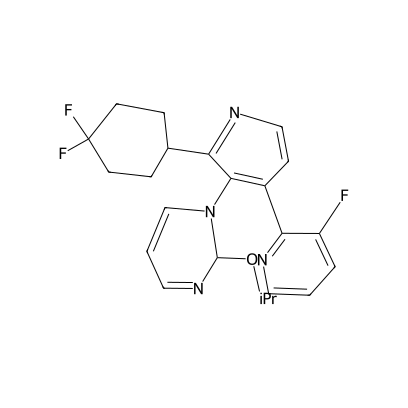 CC(C)OC1N=CC=CN1c1c(-c2ncccc2F)ccnc1C1CCC(F)(F)CC1